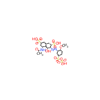 COc1ccc(S(=O)(=O)OS(=O)(=O)O)cc1/N=N/c1c(S(=O)(=O)O)cc2cc(S(=O)(=O)O)cc(NC(C)=O)c2c1O